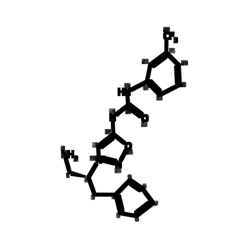 NC[C@@H](Cc1ccccc1)[n+]1cc([N-]C(=O)Nc2cccc(C(F)(F)F)c2)on1